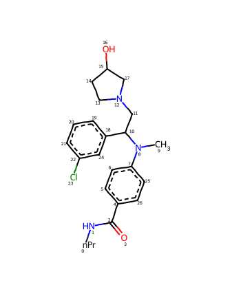 CCCNC(=O)c1ccc(N(C)C(CN2CCC(O)C2)c2cccc(Cl)c2)cc1